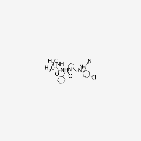 CN[C@@H](C)C(=O)N[C@H](C(=O)N1CCC[C@H]1Cn1nc(C#N)c2cc(Cl)ccc21)C1CCCCC1